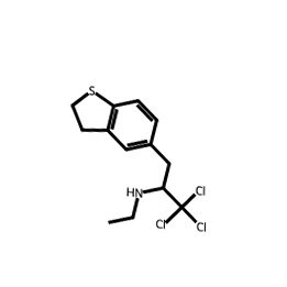 CCNC(Cc1ccc2c(c1)CCS2)C(Cl)(Cl)Cl